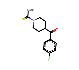 CNC(=S)N1CCC(C(=O)c2ccc(F)cc2)CC1